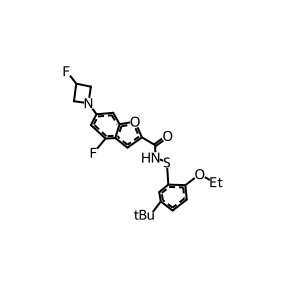 CCOc1ccc(C(C)(C)C)cc1SNC(=O)c1cc2c(F)cc(N3CC(F)C3)cc2o1